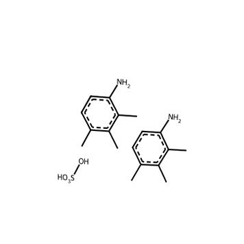 Cc1ccc(N)c(C)c1C.Cc1ccc(N)c(C)c1C.O=S(=O)(O)O